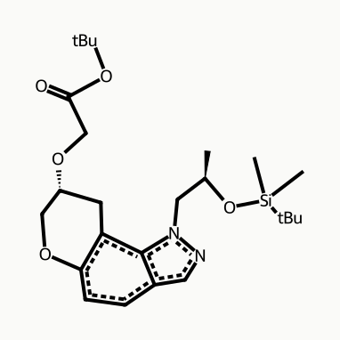 C[C@H](Cn1ncc2ccc3c(c21)C[C@@H](OCC(=O)OC(C)(C)C)CO3)O[Si](C)(C)C(C)(C)C